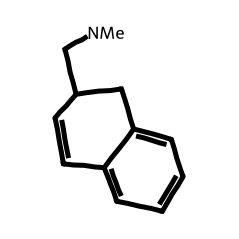 CNCC1C=Cc2ccccc2C1